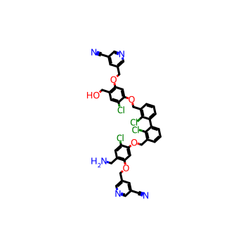 N#Cc1cncc(COc2cc(OCc3cccc(-c4cccc(COc5cc(OCc6cncc(C#N)c6)c(CO)cc5Cl)c4Cl)c3Cl)c(Cl)cc2CN)c1